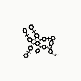 CC(C)(C)c1ccc2c(c1)c1ccccc1n2-c1ccc(N(c2ccccc2)c2cc3c4c(c2)N(c2ccc(C(C)(C)c5ccccc5)cc2)c2ccc(C(C)(C)c5ccccc5)cc2B4c2cc(C(C)(C)c4ccccc4)ccc2N3c2ccc(C(C)(C)c3ccccc3)cc2)cc1